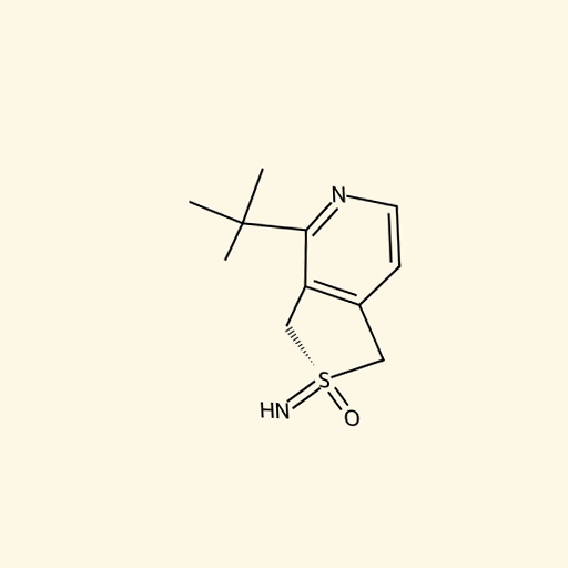 CC(C)(C)c1nccc2c1C[S@@](=N)(=O)C2